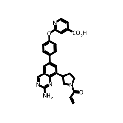 C=CC(=O)N1CCC(c2cc(-c3ccc(Oc4cc(C(=O)O)ccn4)cc3)cc3cnc(N)nc23)C1